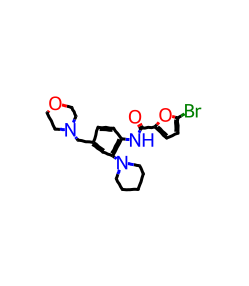 O=C(Nc1ccc(CN2CCOCC2)cc1N1CCCCC1)c1ccc(Br)o1